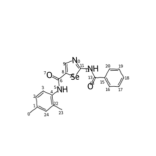 Cc1ccc(NC(=O)c2cnc(NC(=O)c3ccccc3)[se]2)c(C)c1